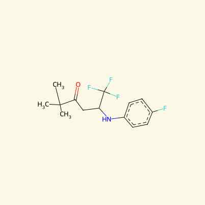 CC(C)(C)C(=O)CC(Nc1ccc(F)cc1)C(F)(F)F